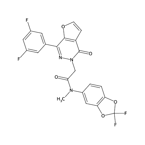 CN(C(=O)Cn1nc(-c2cc(F)cc(F)c2)c2occc2c1=O)c1ccc2c(c1)OC(F)(F)O2